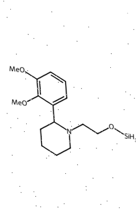 COc1cccc(C2CCCCN2CCO[SiH3])c1OC